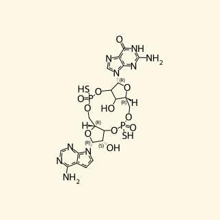 Nc1nc2c(ncn2[C@@H]2O[C@@H]3COP(=O)(S)OC4[C@@H](COP(=O)(S)OC2C3O)O[C@@H](n2ccc3c(N)ncnc32)[C@H]4O)c(=O)[nH]1